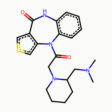 CN(C)CC1CCCCN1CC(=O)N1c2ccccc2NC(=O)c2cscc21